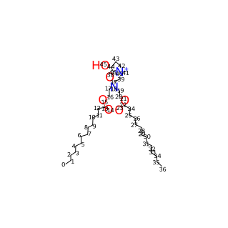 CCCCCCCCCCCCCC(=O)OCCN(CCOC(=O)CCCCCCCCCCCCC)C(=O)C[N+]1(C)CC[C@@H](O)C1